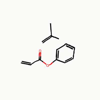 C=C(C)C.C=CC(=O)Oc1ccccc1